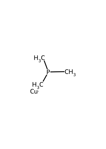 CP(C)C.[Cu]